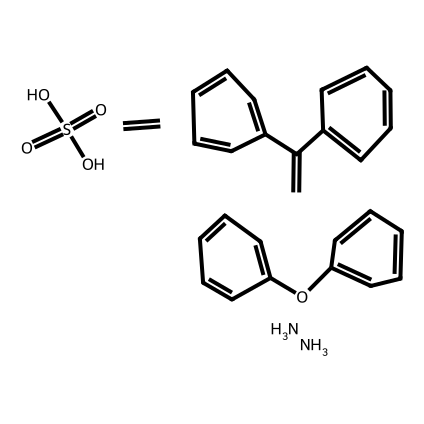 C=C.C=C(c1ccccc1)c1ccccc1.N.N.O=S(=O)(O)O.c1ccc(Oc2ccccc2)cc1